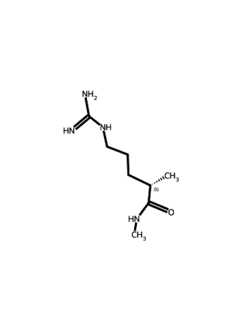 CNC(=O)[C@@H](C)CCCNC(=N)N